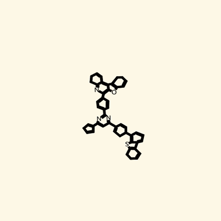 C1=CC(c2cc(C3=CCC(c4cccc5c6c(sc45)CCC=C6)C=C3)nc(-c3ccc(-c4nc5c(c6c7c(oc46)C=CCC7)C=CCC5)cc3)n2)=CC1